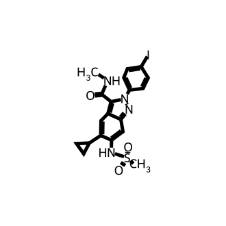 CNC(=O)c1c2cc(C3CC3)c(NS(C)(=O)=O)cc2nn1-c1ccc(I)cc1